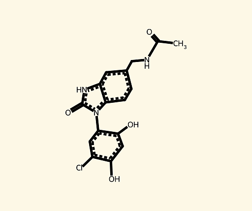 CC(=O)NCc1ccc2c(c1)[nH]c(=O)n2-c1cc(Cl)c(O)cc1O